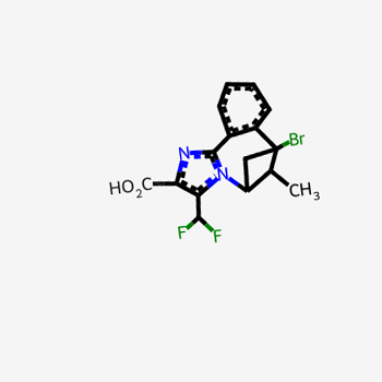 CC1C2CC1(Br)c1ccccc1-c1nc(C(=O)O)c(C(F)F)n12